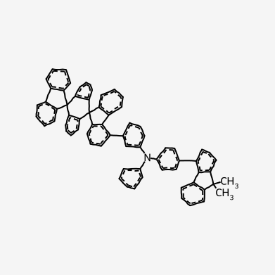 CC1(C)c2ccccc2-c2c(-c3ccc(N(c4ccccc4)c4cccc(-c5cccc6c5-c5ccccc5C65c6ccccc6C6(c7ccccc7-c7ccccc76)c6ccccc65)c4)cc3)cccc21